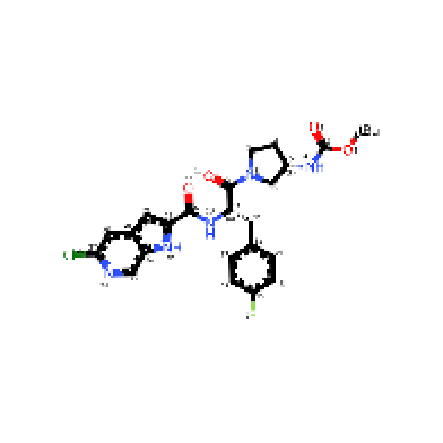 CC(C)(C)OC(=O)N[C@H]1CCN(C(=O)[C@H](Cc2ccc(F)cc2)NC(=O)c2cc3cc(Cl)ncc3[nH]2)C1